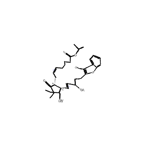 CC(C)OC(=O)CCC/C=C\C[C@H]1C(=O)C(C)(C)C(O)[C@@H]1/C=C/C(O)CCc1sc2ccccc2c1Cl